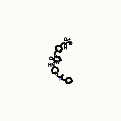 C/C(=C\c1ccccc1)CN1CCC(Nc2nccn(Cc3ccc(CNS(C)(=O)=O)cc3)c2=O)CC1